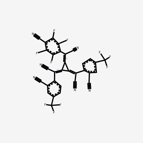 N#CC(=C1C(=C(/C#N)c2ccc(C(F)(F)F)cc2C#N)/C1=C(/C#N)c1c(F)c(F)c(C#N)c(F)c1F)c1ccc(C(F)(F)F)cc1C#N